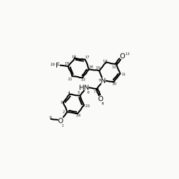 COc1ccc(NC(=O)N2C=CC(=O)CC2c2ccc(F)cc2)cc1